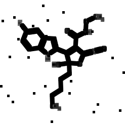 CCCCCC1(O)OC(=C=O)C(C(=O)NOC)=C1c1cc2cc(F)ccc2[nH]1